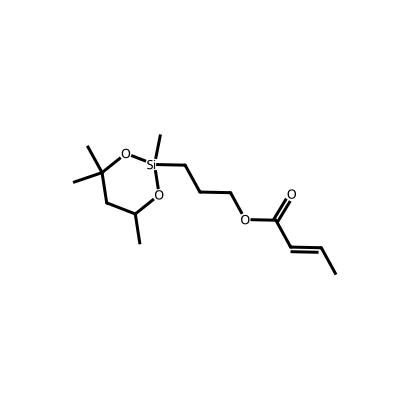 CC=CC(=O)OCCC[Si]1(C)OC(C)CC(C)(C)O1